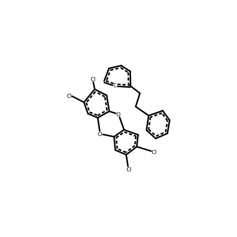 Clc1cc2c(cc1Cl)Oc1cc(Cl)c(Cl)cc1O2.c1ccc(CCc2ccccc2)cc1